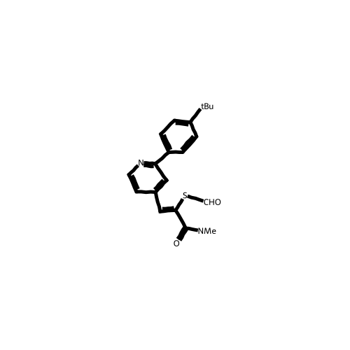 CNC(=O)/C(=C/c1ccnc(-c2ccc(C(C)(C)C)cc2)c1)SC=O